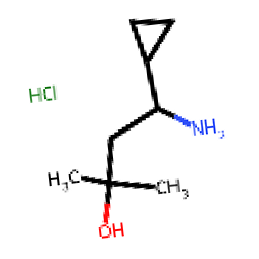 CC(C)(O)CC(N)C1CC1.Cl